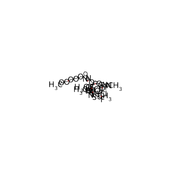 COCCOCCOCCOCCOC[C@@H]1CCCC[C@H]1c1nccc(COc2ccc3cc2C[C@H](C(=O)OC(C)(C)C)Oc2ncnc4sc(-c5ccc(F)cc5)c(c24)-c2c(C)c(Cl)c(c(Cl)c2C)O[C@H](CN2CCN(C)CC2)CO3)n1